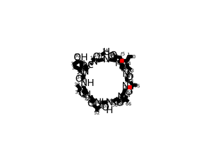 C/C=C/C[C@@H](C)[C@@H](O)[C@H]1C(=O)N[C@@H](CC)C(=O)N(C)CC(=O)N(C)[C@@H](Cc2ccc(O)cc2)C(=O)N[C@@H](C(C)C)C(=O)N(C)[C@@H](C)C(=O)N[C@@H](CC(C)C)C(=O)N[C@H](C)C(=O)N(C)[C@@H](CC(C)C)C(=O)N(C)[C@@H](CC(C)C)C(=O)N(C)[C@@H](C(C)C)C(=O)N1C